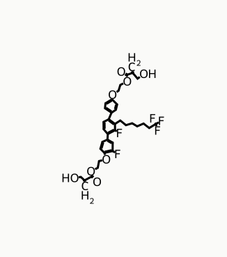 C=C(CO)C(=O)OCCOc1ccc(-c2ccc(-c3ccc(OCCOC(=O)C(=C)CO)c(F)c3)c(F)c2CCCCCCC(F)(F)F)cc1